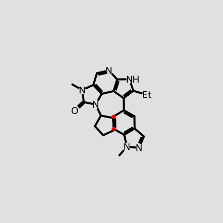 CCc1[nH]c2ncc3c(c2c1-c1ccc2c(cnn2C)c1)n(C1CCCC1)c(=O)n3C